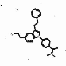 CN(C)C(=O)c1ccc(-n2cc(CCc3ccccc3)c3cc(CCC(=O)O)ccc32)cc1